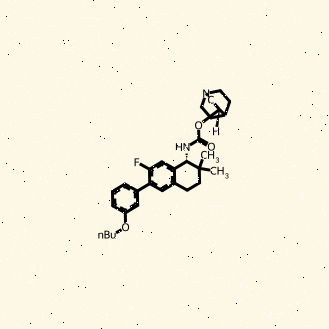 CCCCOc1cccc(-c2cc3c(cc2F)[C@H](NC(=O)O[C@@H]2CN4CCC2CC4)C(C)(C)CC3)c1